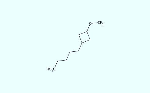 O=C(O)CCCCC1CC(OC(F)(F)F)C1